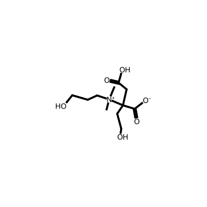 C[N+](C)(CCCO)C(CCO)(CC(=O)O)C(=O)[O-]